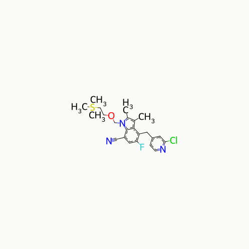 Cc1c(C)n(COCCS(C)(C)C)c2c(C#N)cc(F)c(Cc3ccnc(Cl)c3)c12